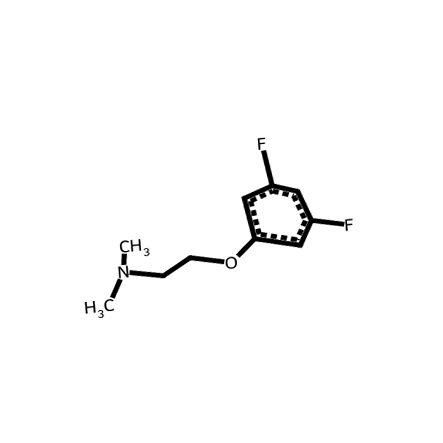 CN(C)CCOc1cc(F)cc(F)c1